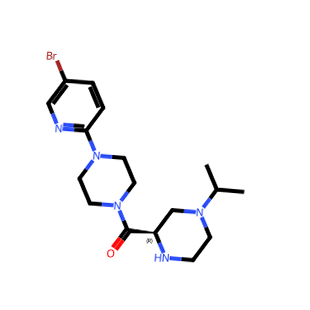 CC(C)N1CCN[C@@H](C(=O)N2CCN(c3ccc(Br)cn3)CC2)C1